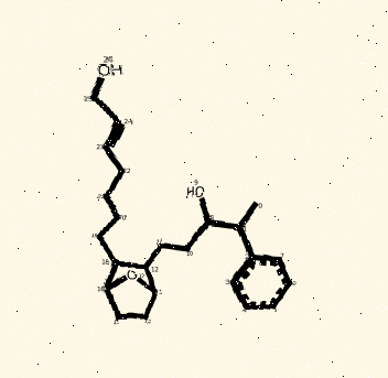 CC(c1ccccc1)C(O)CCC1C2CCC(O2)C1CCCCC=CCO